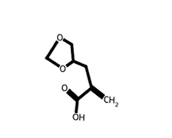 C=C(CC1COCO1)C(=O)O